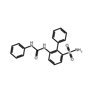 NS(=O)(=O)c1cccc(NC(=O)Nc2ccccc2)c1-c1ccccc1